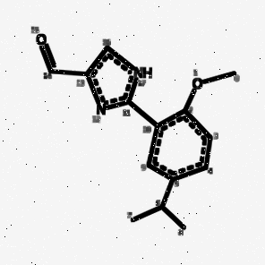 COc1ccc(C(C)C)cc1-c1nc(C=O)c[nH]1